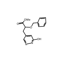 COC(=O)C(Cc1cnnc(O)c1)OCc1ccccc1